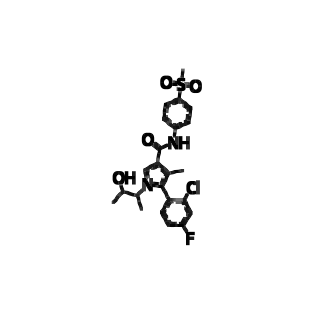 Cc1c(C(=O)Nc2ccc(S(C)(=O)=O)cc2)cn(C(C)C(C)O)c1-c1ccc(F)cc1Cl